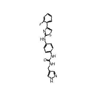 O=C(NCc1cn[nH]c1)Nc1ccc(Nc2nc(-c3ccccc3F)cs2)cc1